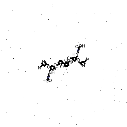 Cc1c(COc2cc(OCc3cncc(C#N)c3)c(CNC/C=C/C(=O)O)cc2Cl)cccc1-c1cccc(COc2cc(OCc3cncc(C#N)c3)c(CNC/C=C/C(=O)O)cc2Cl)c1C